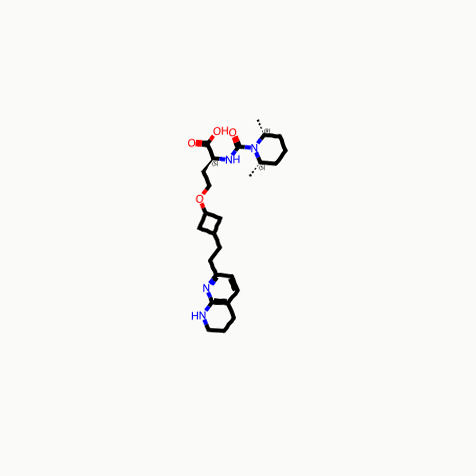 C[C@@H]1CCC[C@H](C)N1C(=O)N[C@@H](CCOC1CC(CCc2ccc3c(n2)NCCC3)C1)C(=O)O